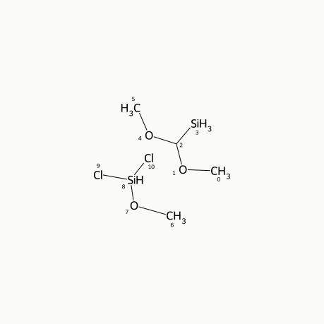 COC([SiH3])OC.CO[SiH](Cl)Cl